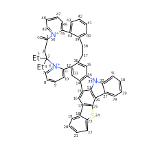 C=C1CC(CC)(CC)[n+]2ccccc2-c2cc3c4cc5c6ccccc6sc5c5c6ccccc6n(c3cc2CCc2ccccc2-c2cccc[n+]21)c45